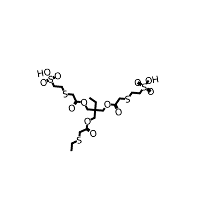 CCSCC(=O)OCC(CC)(COC(=O)CSCCS(=O)(=O)O)COC(=O)CSCCS(=O)(=O)O